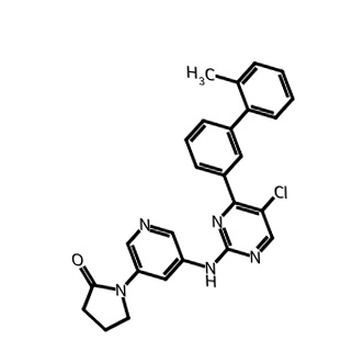 Cc1ccccc1-c1cccc(-c2nc(Nc3cncc(N4CCCC4=O)c3)ncc2Cl)c1